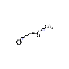 C/C=C/CCC(=O)C#CCCC/C=C/c1ccccc1